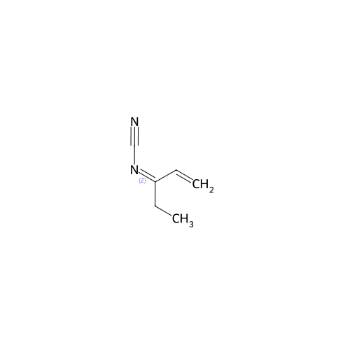 C=C/C(CC)=N\C#N